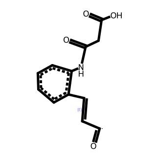 O=[C]/C=C/c1ccccc1NC(=O)CC(=O)O